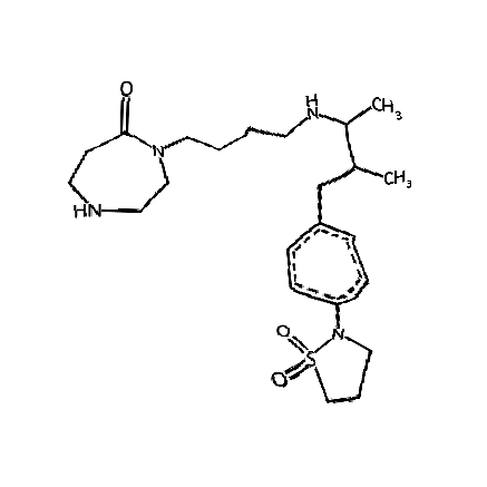 CC(Cc1ccc(N2CCCS2(=O)=O)cc1)C(C)NCCCCN1CCNCCC1=O